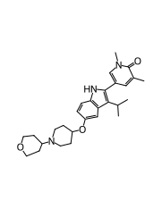 Cc1cc(-c2[nH]c3ccc(OC4CCN(C5CCOCC5)CC4)cc3c2C(C)C)cn(C)c1=O